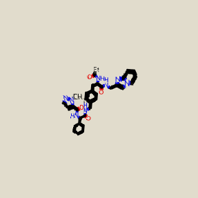 CCC(=O)NC(Cc1ccc(CNC(=O)C(NC(=O)c2ccnn2C)C2CCCCC2)cc1)C(=O)NCc1cn2ccccc2n1